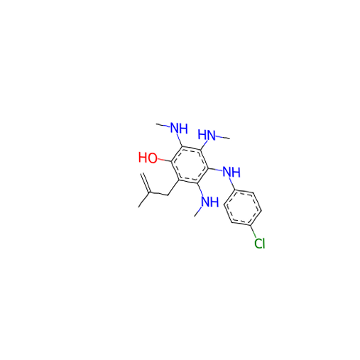 C=C(C)Cc1c(O)c(NC)c(NC)c(Nc2ccc(Cl)cc2)c1NC